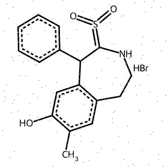 Br.Cc1cc2c(cc1O)C(c1ccccc1)C(=S(=O)=O)NCC2